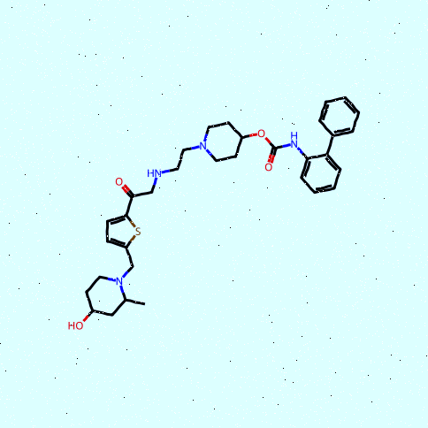 CC1CC(O)CCN1Cc1ccc(C(=O)CNCCN2CCC(OC(=O)Nc3ccccc3-c3ccccc3)CC2)s1